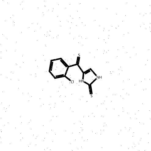 S=C(c1c[nH]c(=S)[nH]1)c1ccccc1Cl